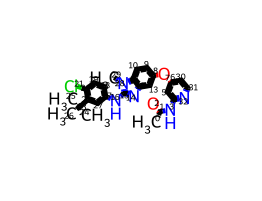 CC(=O)Nc1cc(Oc2ccc3c(c2)nc(Nc2ccc(Cl)c(C(C)(C)C)c2)n3C)ccn1